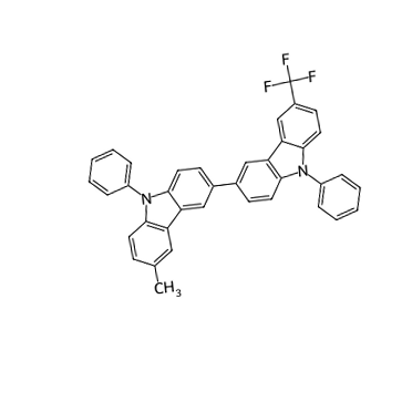 Cc1ccc2c(c1)c1cc(-c3ccc4c(c3)c3cc(C(F)(F)F)ccc3n4-c3ccccc3)ccc1n2-c1ccccc1